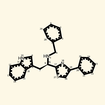 c1ccc(CN[C@H](Cc2c[nH]c3ccccc23)c2nc(-c3ccccc3)cs2)cc1